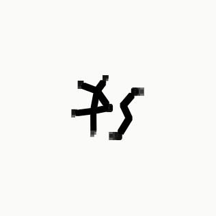 FC1(F)OC1(F)F.OCCO